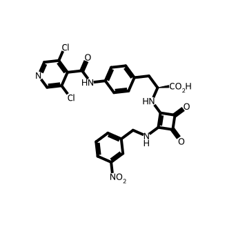 O=C(Nc1ccc(C[C@H](Nc2c(NCc3cccc([N+](=O)[O-])c3)c(=O)c2=O)C(=O)O)cc1)c1c(Cl)cncc1Cl